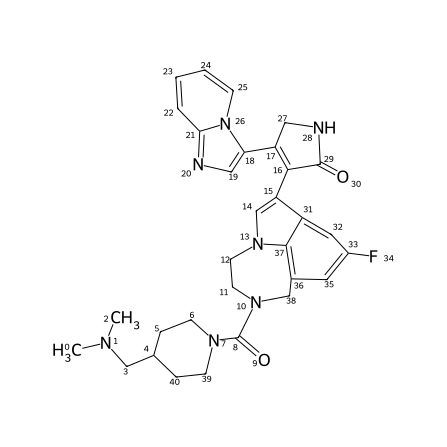 CN(C)CC1CCN(C(=O)N2CCn3cc(C4=C(c5cnc6ccccn56)CNC4=O)c4cc(F)cc(c43)C2)CC1